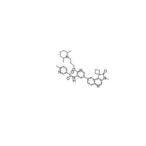 Cc1ccc(S(=O)(=O)Nc2cc(-c3ccc4ncc5c(c4c3)C3(CCC3)C(=O)N5C)cnc2OCCCN2C(C)CCCC2C)cn1